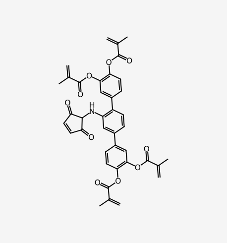 C=C(C)C(=O)Oc1ccc(-c2ccc(-c3ccc(OC(=O)C(=C)C)c(OC(=O)C(=C)C)c3)c(NC3C(=O)C=CC3=O)c2)cc1OC(=O)C(=C)C